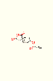 CCC(C)C(=O)OC1CC2CC1CC21CC(=O)OC1=O